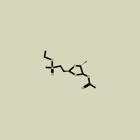 CCOP(C)(=O)CC[C@@H]1OC(OC(C)=O)[C@@H](C)O1